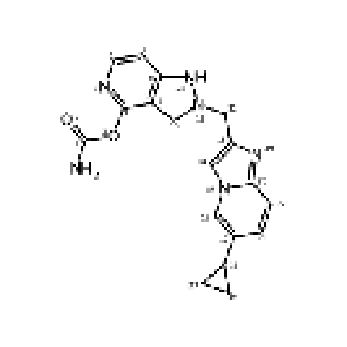 NC(=O)Oc1nccc2c1CN(Cc1cn3cc(C4CC4)ccc3n1)N2